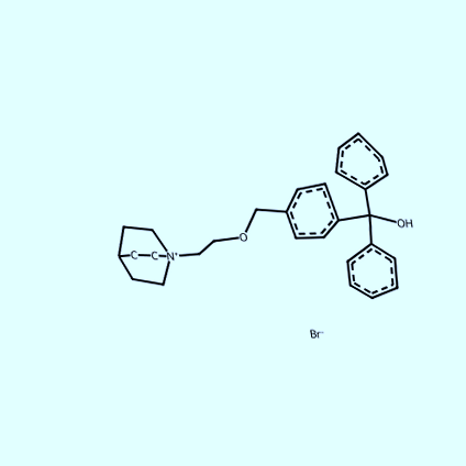 OC(c1ccccc1)(c1ccccc1)c1ccc(COCC[N+]23CCC(CC2)CC3)cc1.[Br-]